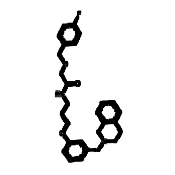 O=C(COCc1ccc(F)cc1)NCCCOc1cccc(CN2CCc3ccccc3C2)c1